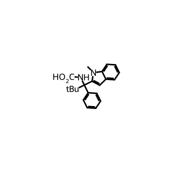 Cn1c(C(NC(=O)O)(c2ccccc2)C(C)(C)C)cc2ccccc21